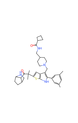 Cc1cc(C)cc(-c2[nH]c3sc(C(C)(C)C(=O)C4C5CCC4NC5)cc3c2CN2CCC(CNC(=O)C3CCC3)CC2)c1